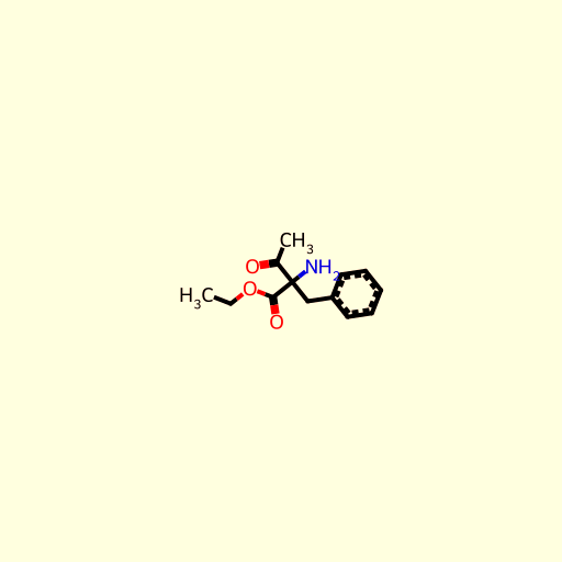 CCOC(=O)C(N)(Cc1ccccc1)C(C)=O